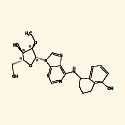 CO[C@@H]1[C@H](O)[C@@H](CO)O[C@H]1n1cnc2c(NC3CCCc4c(O)cccc43)ncnc21